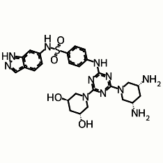 N[C@@H]1C[C@H](N)CN(c2nc(Nc3ccc(S(=O)(=O)Nc4ccc5cn[nH]c5c4)cc3)nc(N3C[C@H](O)C[C@@H](O)C3)n2)C1